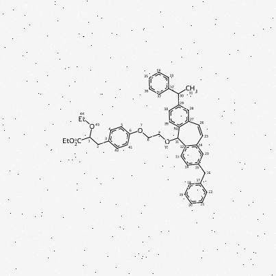 CCOC(=O)C(Cc1ccc(OCCOC2c3ccc(Cc4ccccc4)cc3C=Cc3cc(C(C)c4ccccc4)ccc32)cc1)OCC